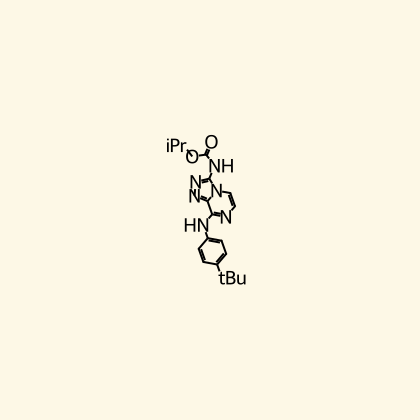 CC(C)OC(=O)Nc1nnc2c(Nc3ccc(C(C)(C)C)cc3)nccn12